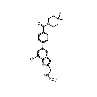 O=C(O)NCc1cc2cc(-c3ccc(C(=O)N4CCC(F)(F)CC4)cc3)cc(Cl)c2s1